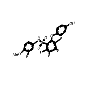 COc1ccc(NS(=O)(=O)c2c(F)c(F)c(F)c(F)c2Oc2ccc(O)cc2)cc1F